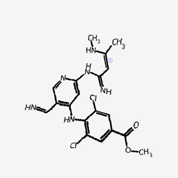 CN/C(C)=C\C(=N)Nc1cc(Nc2c(Cl)cc(C(=O)OC)cc2Cl)c(C=N)cn1